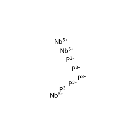 [Nb+5].[Nb+5].[Nb+5].[P-3].[P-3].[P-3].[P-3].[P-3]